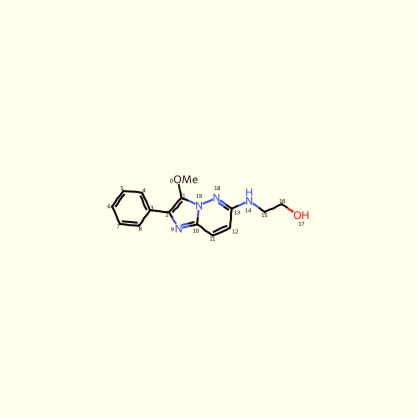 COc1c(-c2ccccc2)nc2ccc(NCCO)nn12